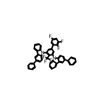 Fc1cc(F)c(F)c(-c2cc(-n3c4ccccc4c4cc(-c5ccccc5)ccc43)c(C(F)(F)F)c(-n3c4ccccc4c4cc(-c5ccccc5)ccc43)c2)c1